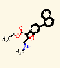 CCOC(=O)c1c(CNC)oc2cc(-c3cccc4ccccc34)ccc12